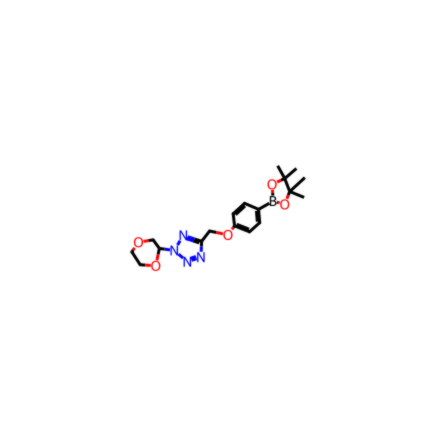 CC1(C)OB(c2ccc(OCc3nnn(C4COCCO4)n3)cc2)OC1(C)C